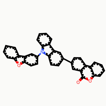 O=c1oc2ccccc2c2ccc(-c3ccc4c(c3)c3ccccc3n4-c3ccc4oc5ccccc5c4c3)cc12